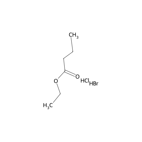 Br.CCCC(=O)OCC.Cl